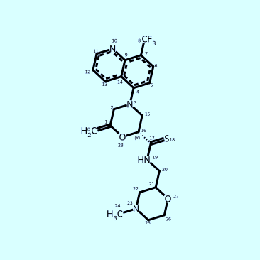 C=C1CN(c2ccc(C(F)(F)F)c3ncccc23)C[C@H](C(=S)NCC2CN(C)CCO2)O1